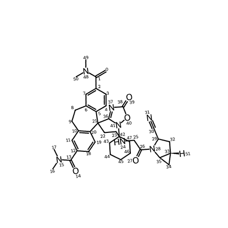 C=C(c1ccc2c(c1)CCc1cc(C(=O)N(C)C)ccc1C2(CCNCC(=O)N1C(C#N)C[C@@H]2CC21)c1nc(=O)on1C1CCCCC1)N(C)C